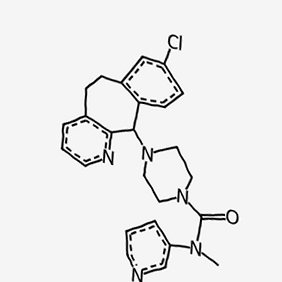 CN(C(=O)N1CCN(C2c3ccc(Cl)cc3CCc3cccnc32)CC1)c1cccnc1